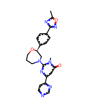 Cc1nc(-c2ccc([C@H]3CN(c4nc(-c5ccncn5)cc(=O)n4C)CCCO3)cc2)no1